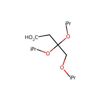 CC(C)OCC(CC(=O)O)(OC(C)C)OC(C)C